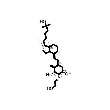 C=C1/C(=C\C=C2CCC[C@@]3(C)C2CC[C@@H]3[C@H](C)CCCC(C)(C)O)C[C@@H](O)[C@H](OCCO)[C@H]1O